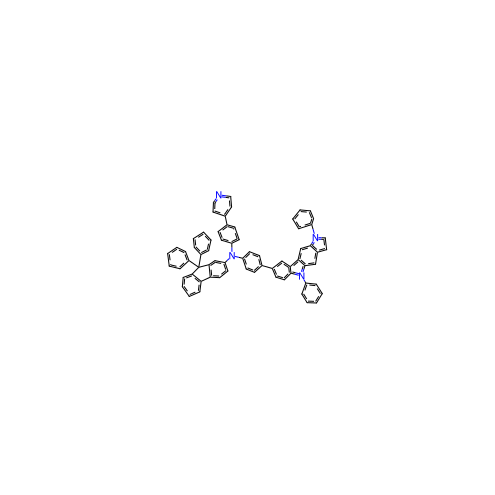 c1ccc(-n2ccc3cc4c(cc32)c2cc(-c3ccc(N(c5ccc(-c6ccncc6)cc5)c5ccc6c(c5)C(c5ccccc5)(c5ccccc5)c5ccccc5-6)cc3)ccc2n4-c2ccccc2)cc1